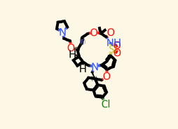 CC1(C)OC/C=C/[C@H](OCCN2CCCC2)[C@@H]2CC[C@H]2CN2C[C@@]3(CCCc4cc(Cl)ccc43)COc3ccc(cc32)S(=O)(=O)NC1=O